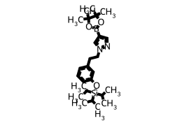 CC(C)[Si](Oc1cccc(CCn2cc(B3OC(C)(C)C(C)(C)O3)cn2)c1)(C(C)C)C(C)C